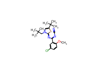 COc1ccc(Cl)cc1C(=NC#N)/N=c1\sc(C(C)(C)C)cn1CC(C)(C)C